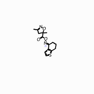 CC1=NOC(C)(C(=O)O/N=C2\CCCc3sccc32)C1